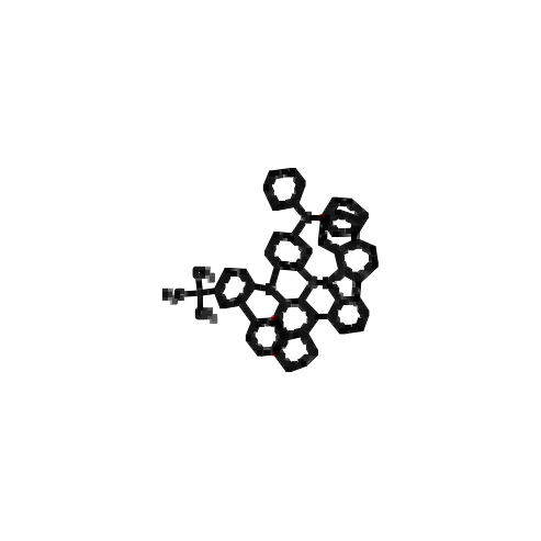 CC(C)(C)c1ccc(N2c3ccc(N(c4ccccc4)c4ccccc4)cc3B3c4c2cc2ccccc2c4-c2cccc4c5ccc6ccccc6c5n3c24)c(-c2ccccc2)c1